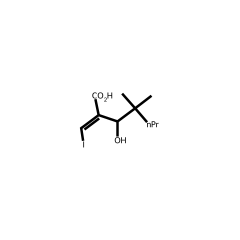 CCCC(C)(C)C(O)/C(=C\I)C(=O)O